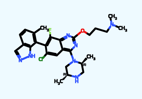 Cc1ccc2cn[nH]c2c1-c1c(Cl)cc2c(N3C[C@@H](C)NC[C@@H]3C)nc(OCCCN(C)C)nc2c1F